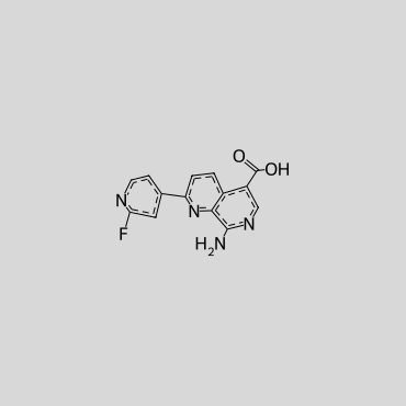 Nc1ncc(C(=O)O)c2ccc(-c3ccnc(F)c3)nc12